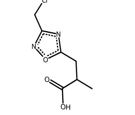 CC(Cc1nc(CCl)no1)C(=O)O